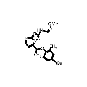 CO/N=C\Nc1nc2nccc(C(C)Oc3ccc(C(C)(C)C)cc3C)n2n1